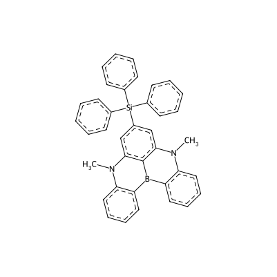 CN1c2ccccc2B2c3ccccc3N(C)c3cc([Si](c4ccccc4)(c4ccccc4)c4ccccc4)cc1c32